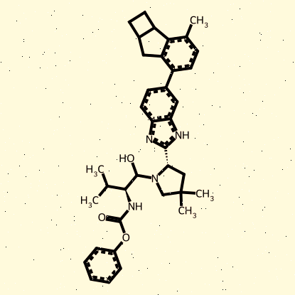 Cc1ccc(-c2ccc3nc([C@@H]4CC(C)(C)CN4C(O)[C@@H](NC(=O)Oc4ccccc4)C(C)C)[nH]c3c2)c2c1C1CCC1C2